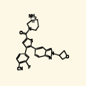 N#Cc1ccc(-c2cc(C(=O)N3CCC[C@@H](N)C3)sc2-c2ccc3nn(C4COC4)cc3c2)cc1F